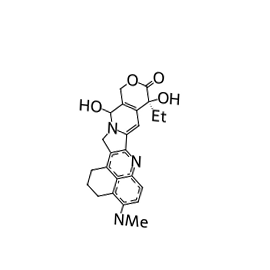 CC[C@@]1(O)C(=O)OCC2=C1C=C1c3nc4ccc(NC)c5c4c(c3CN1C2O)CCC5